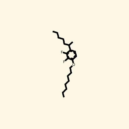 CC[CH]CCC(C)c1ccc(OCCCCCCCC)c(F)c1F